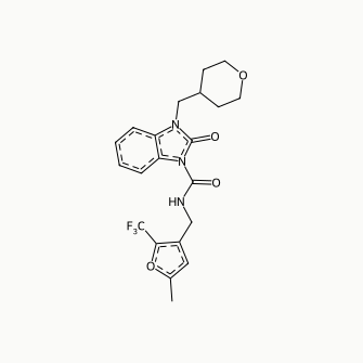 Cc1cc(CNC(=O)n2c(=O)n(CC3CCOCC3)c3ccccc32)c(C(F)(F)F)o1